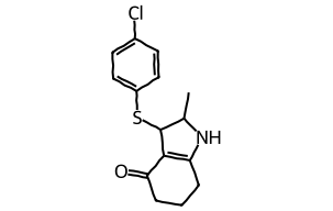 CC1NC2=C(C(=O)CCC2)C1Sc1ccc(Cl)cc1